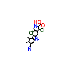 CC1C(C#N)=Cc2c(cc(Cc3c(Cl)cnc(C(=O)O)c3Cl)n2C)C1C